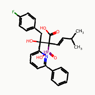 CC(C)C=CC(C(=O)O)([PH](=O)O)C(O)(Cc1ccc(F)cc1)c1cccc(-c2ccccc2)n1